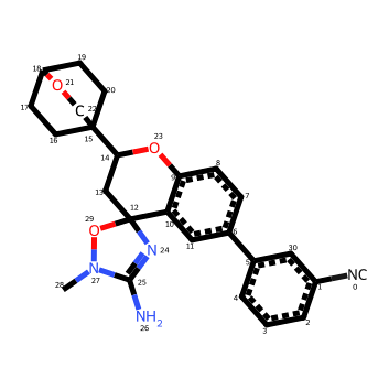 [C-]#[N+]c1cccc(-c2ccc3c(c2)C2(CC(C45CCC(CC4)OC5)O3)N=C(N)N(C)O2)c1